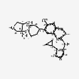 C[C@@]1(N2CCC(c3cc4nc(Nc5ccnn5C5CC5)ncc4cc3Cl)CC2)COCC1O